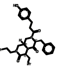 CC(C)CCN1C[C@@H]2CN(C(=O)CCc3ccc(O)cc3)[C@@H](Cc3ccccc3)C(=O)N2[C@@H](CC(C)C)C1=O